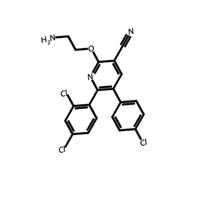 N#Cc1cc(-c2ccc(Cl)cc2)c(-c2ccc(Cl)cc2Cl)nc1OCCN